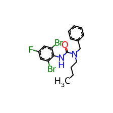 CCCCN(Cc1ccccc1)C(=O)Nc1c(Br)cc(F)cc1Br